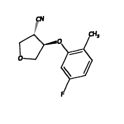 Cc1ccc(F)cc1O[C@H]1COC[C@@H]1C#N